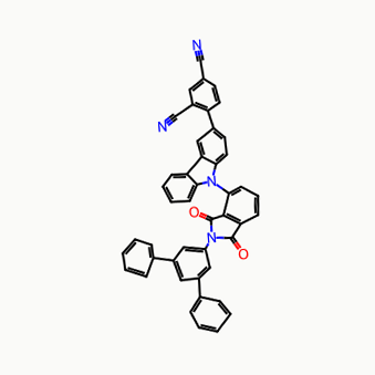 N#Cc1ccc(-c2ccc3c(c2)c2ccccc2n3-c2cccc3c2C(=O)N(c2cc(-c4ccccc4)cc(-c4ccccc4)c2)C3=O)c(C#N)c1